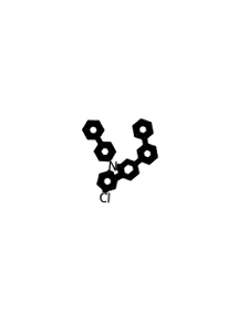 Clc1ccc2c(c1)c1c(n2-c2ccc(-c3ccccc3)cc2)CC(c2cccc(-c3ccccc3)c2)C=C1